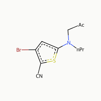 CCCN(CC(C)=O)c1cc(Br)c(C#N)s1